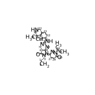 C=CCn1c(=O)c2cnc(Nc3ccc4c(c3)C(C)(C)CNC4)nc2n1-c1ccc(=O)n(C(C)C)n1